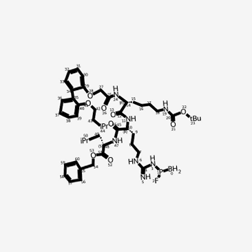 BP(F)NC(=N)NCCC[C@@H](NC(=O)[C@@H](CCCCNC(=O)OC(C)(C)C)NC(=O)COc1ccccc1-c1ccccc1OCCC(C)C)C(=O)N[C@@H](CC(C)C)C(=O)OCc1ccccc1